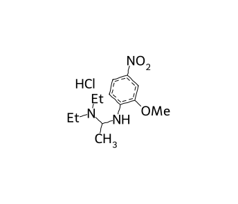 CCN(CC)C(C)Nc1ccc([N+](=O)[O-])cc1OC.Cl